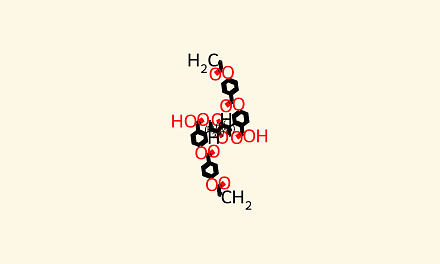 C=CC(=O)Oc1ccc(C(=O)Oc2ccc(C(=O)O)c([C@H]3CO[C@@H]4[C@H]3OC[C@H]4c3cc(OC(=O)c4ccc(OC(=O)C=C)cc4)ccc3C(=O)O)c2)cc1